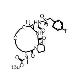 CC(C)(C)OC(=O)N[C@H]1CCCCCCC[C@@H]2C[C@@]2(C(=O)NS(=O)(=O)Cc2ccc(F)cc2)NC(=O)[C@@H]2CCCN2C1=O